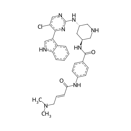 CN(C)C/C=C/C(=O)Nc1ccc(C(=O)N[C@@H]2CNC[C@@H](Nc3ncc(Cl)c(-c4c[nH]c5ccccc45)n3)C2)cc1